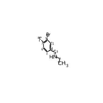 CCNSc1ccc(F)c(Br)c1